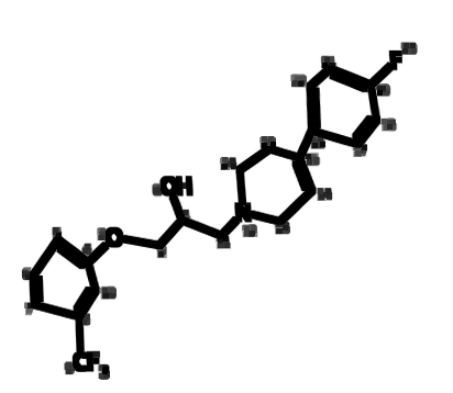 OC(COc1cccc(C(F)(F)F)c1)CN1CC=C(c2ccc(F)cc2)CC1